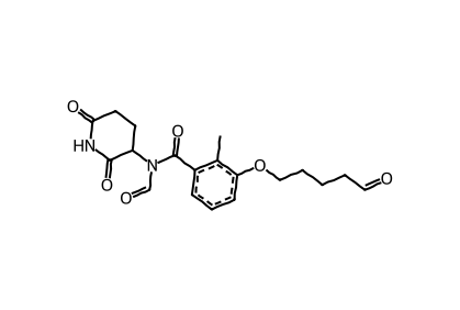 Cc1c(OCCCCC=O)cccc1C(=O)N(C=O)C1CCC(=O)NC1=O